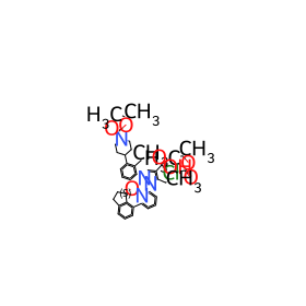 CC(C)OC(=O)Cl.CCc1cc(O[C@H]2CCc3cccc(-c4cccc(-n5ncc(C(=O)O)c5CC)n4)c32)ccc1C1CCN(C(=O)OC(C)C)CC1